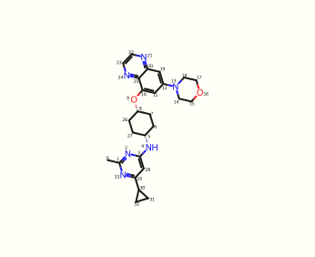 Cc1nc(N[C@H]2CC[C@@H](Oc3cc(N4CCOCC4)cc4nccnc34)CC2)cc(C2CC2)n1